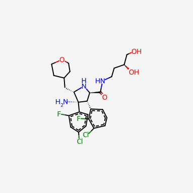 N[C@]1(c2ccc(Cl)cc2F)[C@H](CC2CCOCC2)N[C@@H](C(=O)NCC[C@H](O)CO)[C@@H]1c1cccc(Cl)c1F